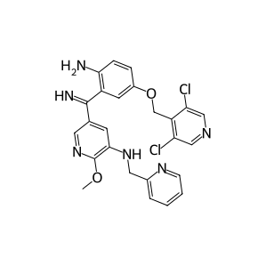 COc1ncc(C(=N)c2cc(OCc3c(Cl)cncc3Cl)ccc2N)cc1NCc1ccccn1